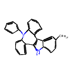 Cc1ccc2[nH]c3c(c2c1)-c1ccccc1N(c1ccccc1)c1ccccc1-3